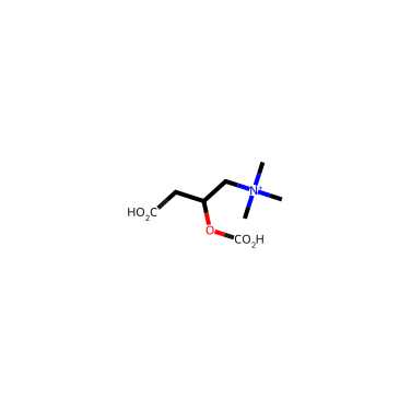 C[N+](C)(C)CC(CC(=O)O)OC(=O)O